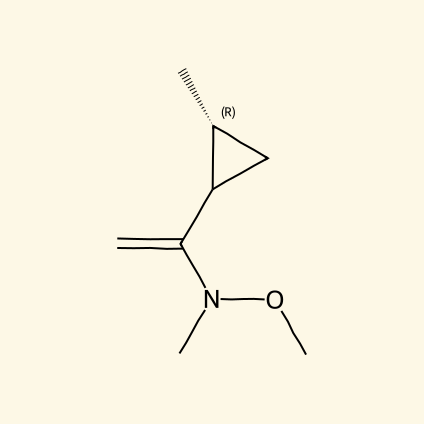 C=C(C1C[C@H]1C)N(C)OC